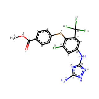 COC(=O)c1ccc(Sc2c(Cl)cc(Nc3n[nH]c(N)n3)cc2C(F)(F)F)cc1